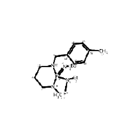 CCN(CC)P1(=NC(C)(C)C)N(C)CCCN1Cc1ccc(C)cc1